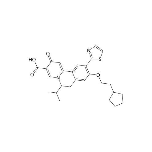 CC(C)C1Cc2cc(OCCC3CCCC3)c(-c3nccs3)cc2-c2cc(=O)c(C(=O)O)cn21